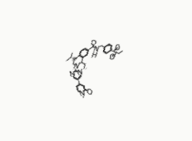 [CH2]CC1c2cc(C(=O)NCc3ccc(S(=O)(=O)CC)cc3)ccc2[C@@H](C(C)C)CN1c1ncc(-c2ccn(C)c(=O)c2)cn1